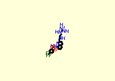 N=C(N)NCCNCc1ccc2cccc(NS(=O)(=O)c3ccc(C(F)(F)F)cc3)c2n1